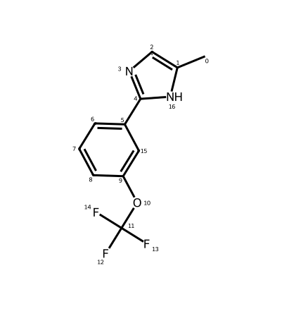 Cc1[c]nc(-c2cccc(OC(F)(F)F)c2)[nH]1